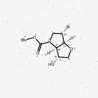 CC(C)(C)OC(=O)N1C[C@H](Br)[C@H]2OC[C@H](O)[C@H]21